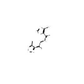 Cc1nonc1C(C)CCC(C)c1ocnc1C(C)C